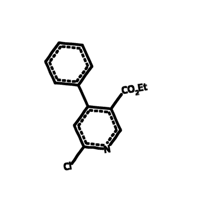 CCOC(=O)c1cnc(Cl)cc1-c1ccccc1